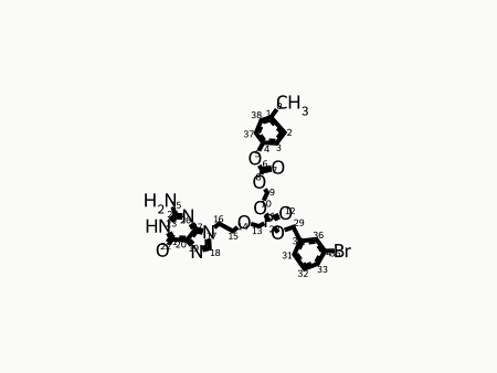 Cc1ccc(OC(=O)OCOP(=O)(COCCn2cnc3c(=O)[nH]c(N)nc32)OCc2cccc(Br)c2)cc1